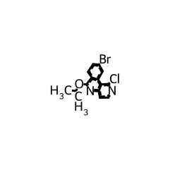 CC(C)Oc1nc2ccnc(Cl)c2c2cc(Br)ccc12